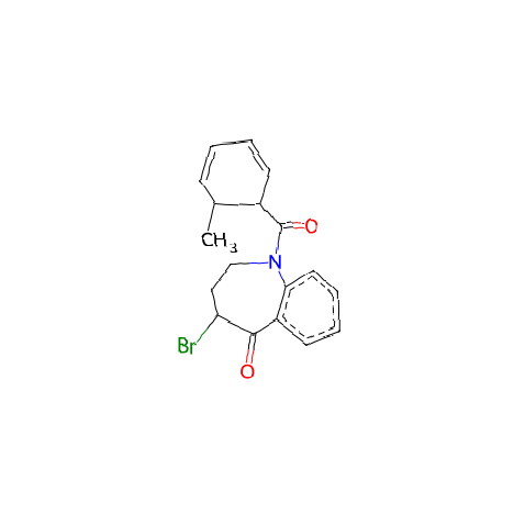 CC1C=CC=CC1C(=O)N1CCC(Br)C(=O)c2ccccc21